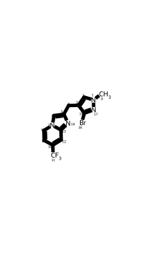 Cn1cc(Cc2cn3ccc(C(F)(F)F)cc3n2)c(Br)n1